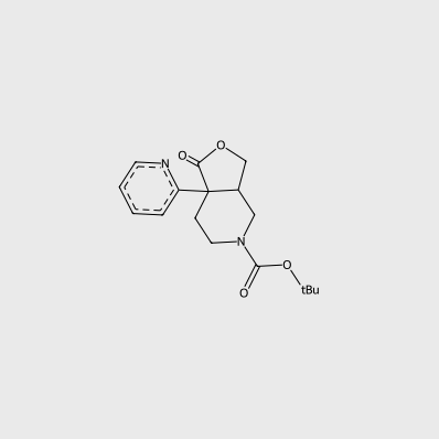 CC(C)(C)OC(=O)N1CCC2(c3ccccn3)C(=O)OCC2C1